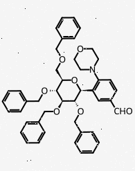 O=Cc1ccc(N2CCOCC2)c([C@@H]2O[C@H](COCc3ccccc3)[C@@H](OCc3ccccc3)[C@H](OCc3ccccc3)[C@H]2OCc2ccccc2)c1